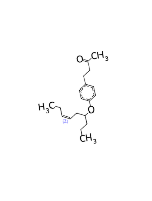 CC/C=C\CC(CCC)Oc1ccc(CCC(C)=O)cc1